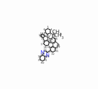 CC1(C)c2ccccc2C2(c3ccccc3-c3ccccc32)c2cc3c(cc21)CCc1ccc(-c2cnc4ccccc4n2)cc1-3